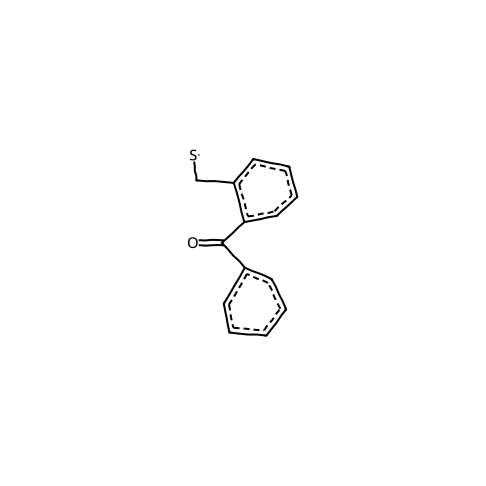 O=C(c1ccccc1)c1ccccc1C[S]